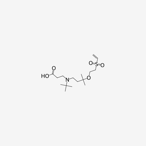 C=CS(=O)(=O)CCOC(C)(C)CCN(CCC(=O)O)C(C)(C)C